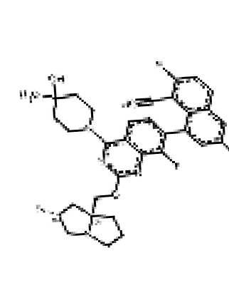 C#Cc1c(F)ccc2cc(O)cc(-c3ccc4c(N5CCC(C)(O)CC5)nc(OC[C@@]56CCCN5C[C@H](F)C6)nc4c3F)c12